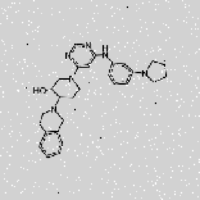 OC1CN(c2cc(Nc3cccc(N4CCCC4)c3)ncn2)CCC1N1CCc2ccccc2C1